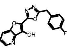 Oc1c(-c2nnc(Cc3ccc(F)cc3)o2)oc2cccnc12